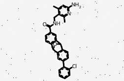 Cc1cc(N)nc(C)c1CNC(=O)c1ccc2c(c1)C1OC2c2cc(-c3ccccc3Cl)ccc21